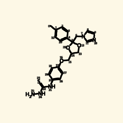 Cc1ccc(C2(Cn3ccnc3)OCC(COc3ccc(NC(=S)NN)cc3)O2)cc1